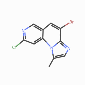 Cc1cnc2c(Br)cc3cnc(Cl)cc3n12